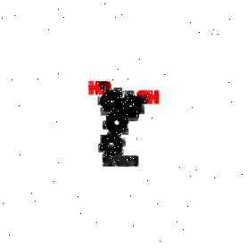 CCCCCCCCC[C@H]1CC[C@@H](C2CCC(c3ccc(O)cc3)(c3ccc(O)cc3)CC2)CC1